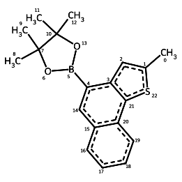 Cc1cc2c(B3OC(C)(C)C(C)(C)O3)cc3ccccc3c2s1